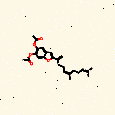 C=C(CCC=C(C)CCC=C(C)C)c1cc2cc(OC(C)=O)c(OC(C)=O)cc2o1